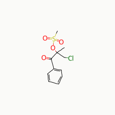 CC(CCl)(OS(C)(=O)=O)C(=O)c1ccccc1